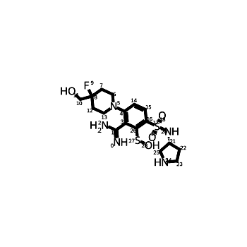 N=C(N)c1c(N2CCC(F)(CO)CC2)ccc(S(=O)(=O)N[C@@H]2CCNC2)c1SO